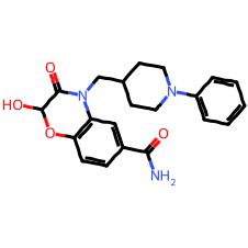 NC(=O)c1ccc2c(c1)N(CC1CCN(c3ccccc3)CC1)C(=O)C(O)O2